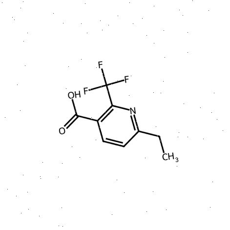 CCc1ccc(C(=O)O)c(C(F)(F)F)n1